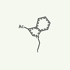 CC(=O)c1cn(CI)c2ccccc12